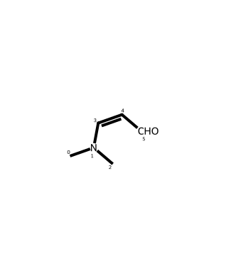 CN(C)/C=C\C=O